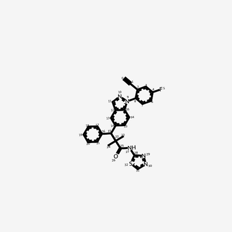 C#Cc1cc(F)ccc1-n1ncc2cc(C(c3ccccc3)C(C)(C)C(=O)Nc3nncs3)ccc21